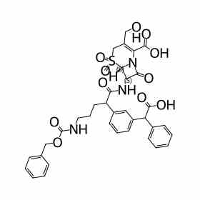 O=C(NCCCC(C(=O)N[C@H]1C(=O)N2C(C(=O)O)=C(CO)CS(=O)(=O)[C@@H]12)c1cccc(C(C(=O)O)c2ccccc2)c1)OCc1ccccc1